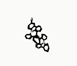 N#CC1=CC2c3cccc(-c4ccccc4C4=CC=CCC4N4C5=CCCCC5c5ccccc54)c3N(c3ccccc3C#N)C2C=C1